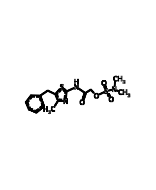 Cc1nc(NC(=O)COS(=O)(=O)N(C)C)sc1Cc1ccccc1